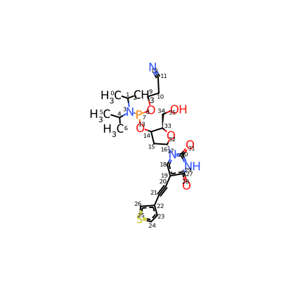 CC(C)N(C(C)C)P(OCCC#N)OC1C[C@@H](n2cc(C#Cc3ccsc3)c(=O)[nH]c2=O)O[C@@H]1CO